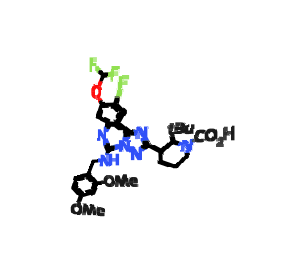 COc1ccc(CNc2nc3cc(OC(F)F)c(F)cc3c3nc(C4CCCN(C(=O)O)C4C(C)(C)C)nn23)c(OC)c1